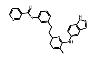 CC1=CCC(CCc2cccc(NC(=O)c3cccnc3)c2)N=C1Nc1ccc2[nH]ncc2c1